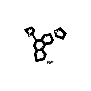 [Fe+2].c1c[cH-]c(-c2cc3ccccc3c3ccccc23)c1.c1cc[cH-]c1